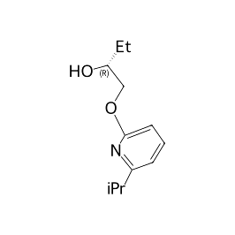 CC[C@@H](O)COc1cccc(C(C)C)n1